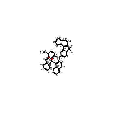 CC(C)(C)c1ccc(N(c2ccc3c(c2)-c2c(ccc4ccccc24)C3(C)C)c2ccc3ccccc3c2-c2cccc3ccccc23)cc1